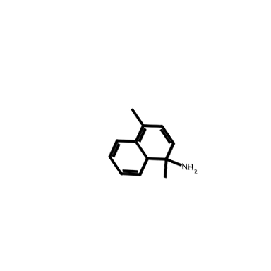 CC1=C2C=CC=CC2C(C)(N)C=C1